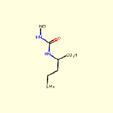 CSCCC(NC(=O)NN=O)C(=O)O